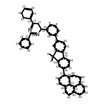 CC1(C)c2cc(-c3cccc(C4CC(C5=CC=CCC5)=NC(c5ccccc5)=N4)c3)ccc2-c2ccc(-c3ccc4ccc5cccc6ccc3c4c56)cc21